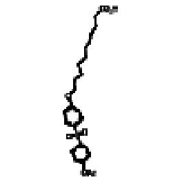 CC(=O)Oc1ccc(S(=O)(=O)c2ccc(OCCCCCCCCCCC(=O)O)cc2)cc1